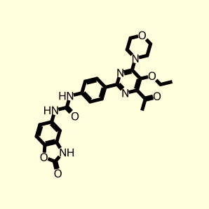 CCOc1c(C(C)=O)nc(-c2ccc(NC(=O)Nc3ccc4oc(=O)[nH]c4c3)cc2)nc1N1CCOCC1